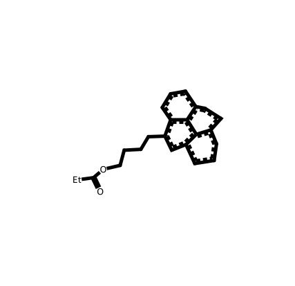 CCC(=O)OCCCCc1cc2cccc3ccc4cccc1c4c32